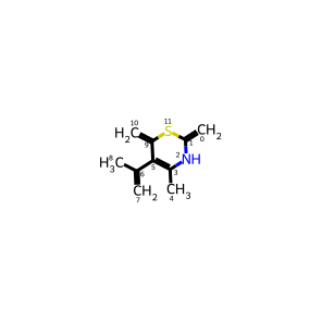 C=C1NC(C)=C(C(=C)C)C(=C)S1